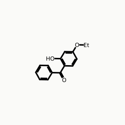 CCOc1ccc(C(=O)c2ccccc2)c(O)c1